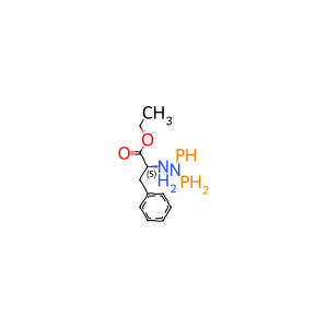 CCOC(=O)[C@@H](N)Cc1ccccc1.P=NP